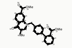 CCCCc1cn(Cc2ccc(-c3ccccc3C(=O)OC)cc2)c2cc(C(=O)OC)ccc2c1=O